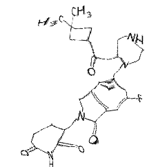 CC1(C)CC(C(=O)C2CNCCN2c2cc3c(cc2F)C(=O)N(C2CCC(=O)NC2=O)C3)C1